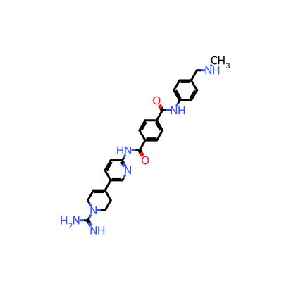 CNCc1ccc(NC(=O)c2ccc(C(=O)Nc3ccc(C4=CCN(C(=N)N)CC4)cn3)cc2)cc1